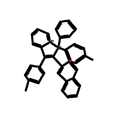 Cc1ccc(C2=C(c3ccc4ccccc4c3)[B-](c3ccccc3)(c3ccc(C)cc3)[n+]3ccccc32)cc1